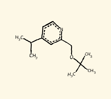 CC(C)c1ccnc(COC(C)(C)C)c1